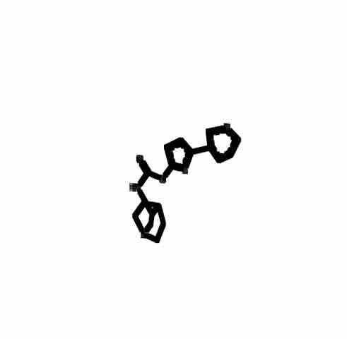 O=C(NC1CN2CCC1CC2)Oc1ccc(-c2cccnc2)s1